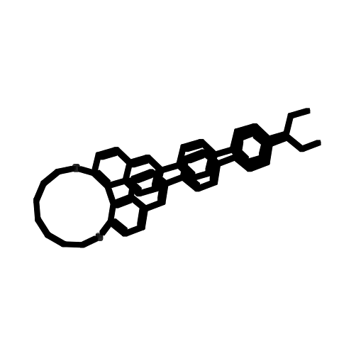 CCCc1ccc(-c2ccc(-c3ccc4c5c(ccc4c3)OCCCCCCCOc3ccc4cc(-c6ccc(-c7ccc(CCC)cc7)cc6)ccc4c3-5)cc2)cc1